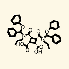 CCCN(C(=O)[C@@H]1[C@H](C(=O)O)[C@@H](C(=O)O)[C@H]1C(=O)N(CCC)C(Oc1ccccc1)c1ccccc1)C(Oc1ccccc1)c1ccccc1